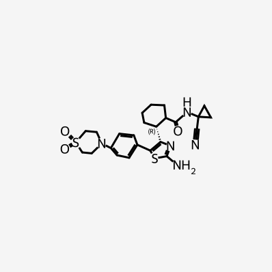 N#CC1(NC(=O)C2CCCC[C@H]2c2nc(N)sc2-c2ccc(N3CCS(=O)(=O)CC3)cc2)CC1